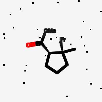 COC(=O)[C@H]1CCC[C@@]1(C)C(C)C